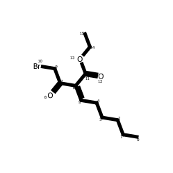 CCCCCC=C(C(=O)CBr)C(=O)OCC